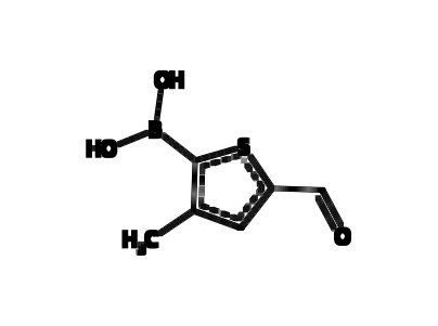 Cc1cc(C=O)sc1B(O)O